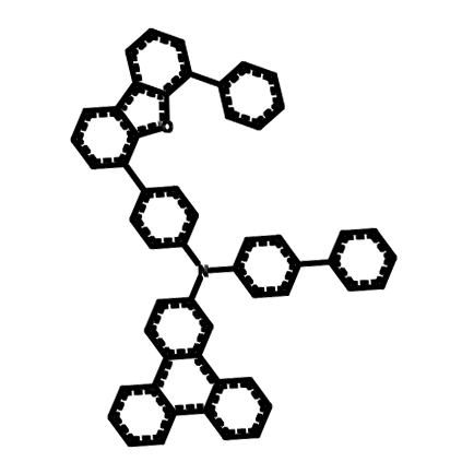 c1ccc(-c2ccc(N(c3ccc(-c4cccc5c4oc4c(-c6ccccc6)cccc45)cc3)c3ccc4c5ccccc5c5ccccc5c4c3)cc2)cc1